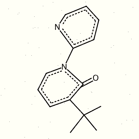 CC(C)(C)c1cccn(-c2ccccn2)c1=O